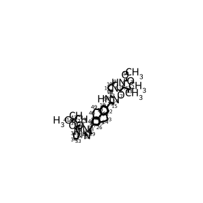 COC(=O)N[C@H](C(=O)N1CCC[C@H]1c1ncc(-c2cc3c4c(c2)CCc2cc(-c5cnc([C@@H]6CCCN6C(=O)OC(C)(C)C)[nH]5)cc(c2-4)CC3)[nH]1)C(C)C